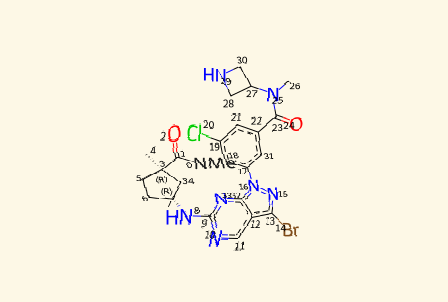 CNC(=O)[C@]1(C)CC[C@@H](Nc2ncc3c(Br)nn(-c4cc(Cl)cc(C(=O)N(C)C5CNC5)c4)c3n2)C1